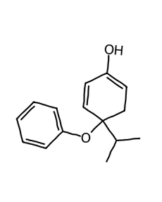 CC(C)C1(Oc2ccccc2)C=CC(O)=CC1